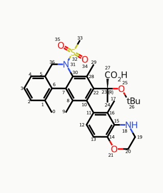 Cc1cccc2c1-c1c(C)c(-c3ccc4c(c3C)NCCO4)c([C@@](C)(OC(C)(C)C)C(=O)O)c(C)c1N(S(C)(=O)=O)C2